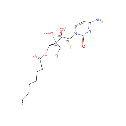 CCCCCCCC(=O)OC[C@@](CCl)(OC)[C@@H](O)[C@@H](F)n1ccc(N)nc1=O